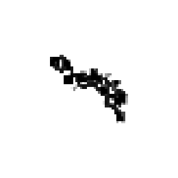 C[C@@H]1CN(c2ccc(C#N)n3ncc(F)c23)Cc2c3c(nn21)CN(C(=O)CN1CCOCC1)[C@@H](C)C3